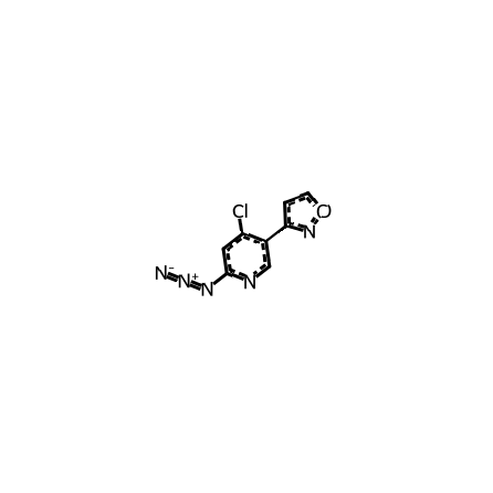 [N-]=[N+]=Nc1cc(Cl)c(-c2ccon2)cn1